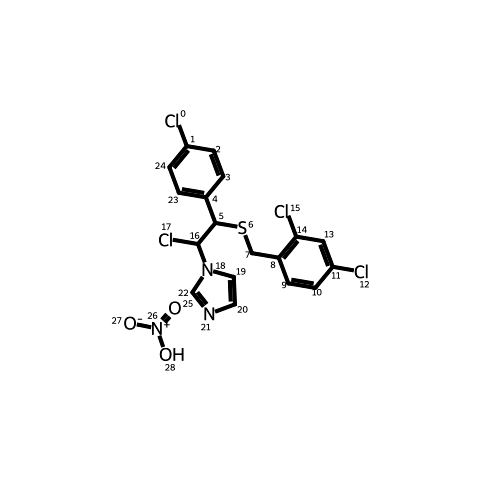 Clc1ccc(C(SCc2ccc(Cl)cc2Cl)C(Cl)n2ccnc2)cc1.O=[N+]([O-])O